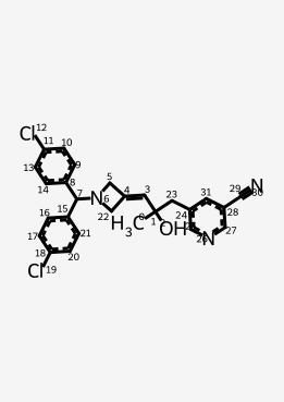 CC(O)(C=C1CN(C(c2ccc(Cl)cc2)c2ccc(Cl)cc2)C1)Cc1cncc(C#N)c1